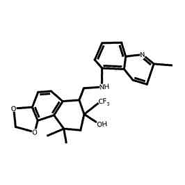 Cc1ccc2c(NCC3c4ccc5c(c4C(C)(C)CC3(O)C(F)(F)F)OCO5)cccc2n1